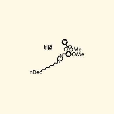 CCCCCCCCCCCCCCCCCCN1CCN(Cc2ccc(OC)c(OC)c2OC(=O)c2ccccc2)CC1.Cl.Cl